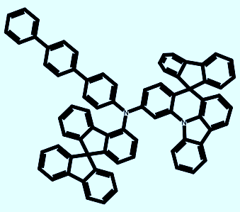 c1ccc(-c2ccc(-c3ccc(N(c4ccc5c(c4)-n4c6ccccc6c6cccc(c64)C54c5ccccc5-c5ccccc54)c4cccc5c4-c4ccccc4C54c5ccccc5-c5ccccc54)cc3)cc2)cc1